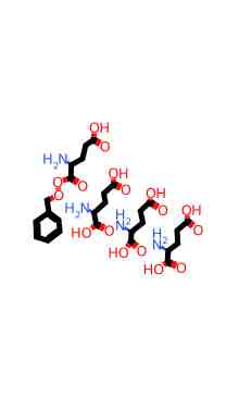 N[C@@H](CCC(=O)O)C(=O)O.N[C@@H](CCC(=O)O)C(=O)O.N[C@@H](CCC(=O)O)C(=O)O.N[C@@H](CCC(=O)O)C(=O)OOCc1ccccc1